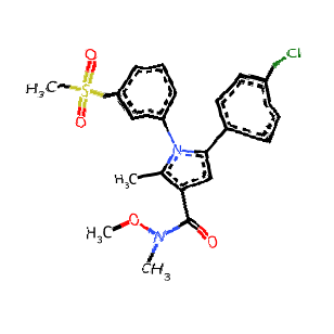 CON(C)C(=O)c1cc(-c2ccc(Cl)cc2)n(-c2cccc(S(C)(=O)=O)c2)c1C